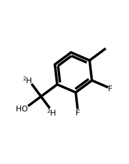 [2H]C([2H])(O)C1=C=C=C(C)C(F)=C1F